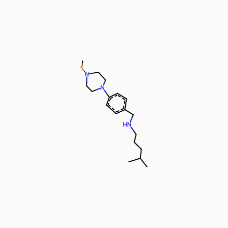 CSN1CCN(c2ccc(CNCCCC(C)C)cc2)CC1